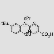 CCCN(c1ncc(C(=O)O)cn1)c1cc(C(C)(C)C)ccc1C(C)(C)C